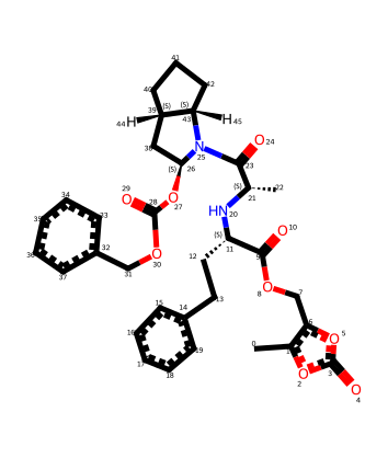 Cc1oc(=O)oc1COC(=O)[C@H](CCc1ccccc1)N[C@@H](C)C(=O)N1[C@@H](OC(=O)OCc2ccccc2)C[C@@H]2CCC[C@@H]21